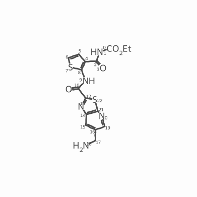 CCOC(=O)NC(=O)c1ccsc1NC(=O)c1nc2cc(CN)cnc2s1